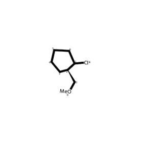 COC[C@H]1CCCCC1Cl